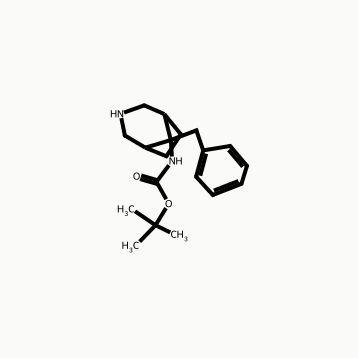 CC(C)(C)OC(=O)NC1(Cc2ccccc2)C2CCC1CNC2